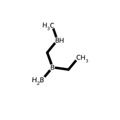 BB(CC)CBC